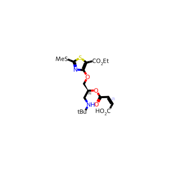 CCOC(=O)c1sc(SC)nc1OC[C@H](CNC(C)(C)C)OC(=O)/C=C\C(=O)O